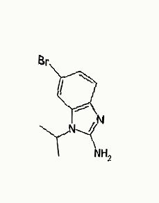 CC(C)n1c(N)nc2ccc(Br)cc21